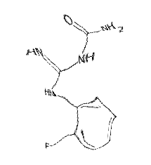 N=C(NC(N)=O)Nc1ccccc1F